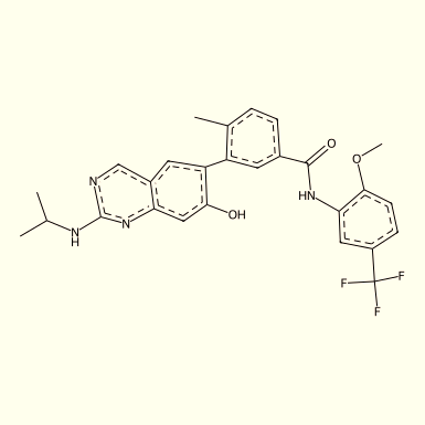 COc1ccc(C(F)(F)F)cc1NC(=O)c1ccc(C)c(-c2cc3cnc(NC(C)C)nc3cc2O)c1